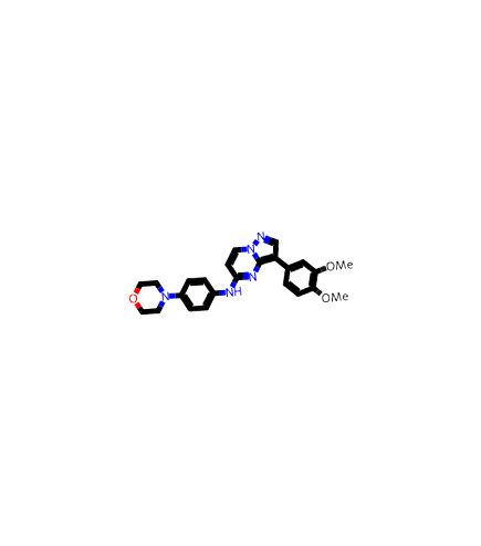 COc1ccc(-c2cnn3ccc(Nc4ccc(N5CCOCC5)cc4)nc23)cc1OC